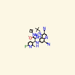 COc1c(C(Nc2cc(C#N)c3ncc(C#N)c(NCC(C)(C)C)c3c2)c2ccc(F)nc2C)nnn1C12CC(C1)C2